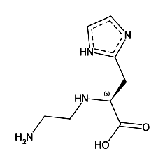 NCCN[C@@H](Cc1ncc[nH]1)C(=O)O